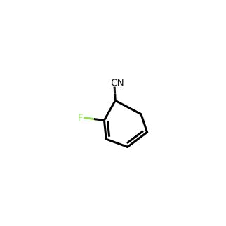 N#CC1CC=CC=C1F